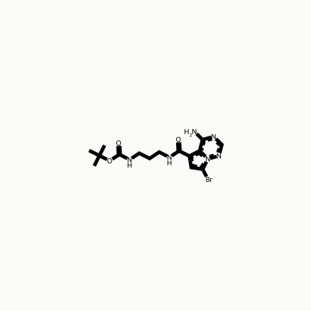 CC(C)(C)OC(=O)NCCCNC(=O)c1cc(Br)n2ncnc(N)c12